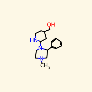 CN1CCN(C2CC(CO)CCN2)C(c2ccccc2)C1